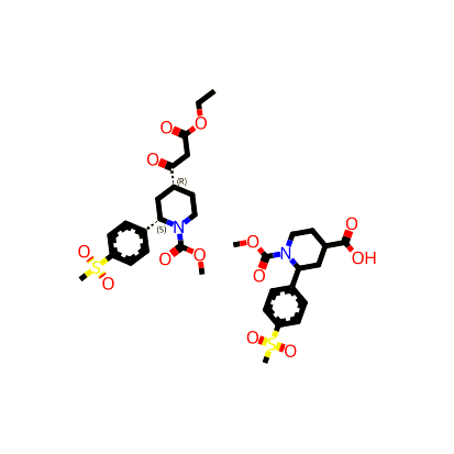 CCOC(=O)CC(=O)[C@@H]1CCN(C(=O)OC)[C@H](c2ccc(S(C)(=O)=O)cc2)C1.COC(=O)N1CCC(C(=O)O)CC1c1ccc(S(C)(=O)=O)cc1